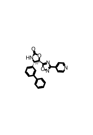 O=C1N[C@@H](c2cccc(-c3ccccc3)c2)[C@H](c2nc(-c3ccncc3)no2)O1